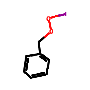 IOOCc1ccccc1